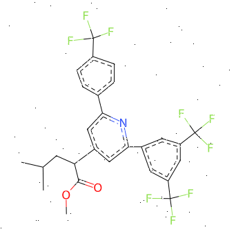 COC(=O)C(CC(C)C)c1cc(-c2ccc(C(F)(F)F)cc2)nc(-c2cc(C(F)(F)F)cc(C(F)(F)F)c2)c1